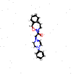 O=C(CN1CCN(c2ccccc2)CC1)N1CCc2ccccc2CO1